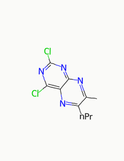 CCCc1nc2c(Cl)nc(Cl)nc2nc1C